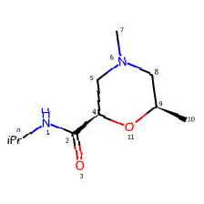 CC(C)NC(=O)[C@H]1CN(C)C[C@@H](C)O1